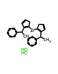 CC(C1=[C]([Zr][C]2=C(C(C)c3ccccc3)C=CC2)CC=C1)c1ccccc1.Cl.Cl